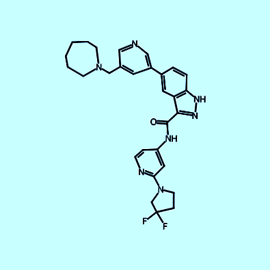 O=C(Nc1ccnc(N2CCC(F)(F)C2)c1)c1n[nH]c2ccc(-c3cncc(CN4CCCCCC4)c3)cc12